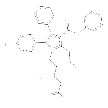 CCCc1c(C(=O)Nc2ccccc2)c(-c2ccccc2)c(-c2ccc(F)cc2)n1CC[C@@H](O)CC(=O)O